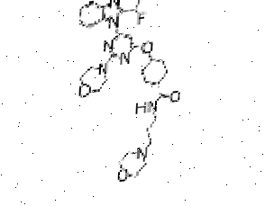 O=C(NCCCN1CCOCC1)[C@H]1CC[C@H](Oc2cc(-n3c(C(F)F)nc4ccccc43)nc(N3CCOCC3)n2)CC1